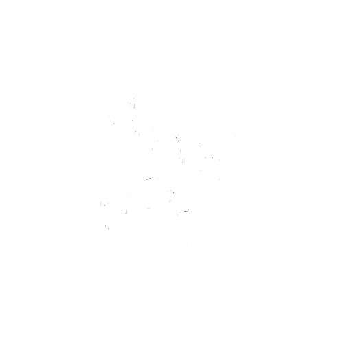 N=C(N)NCCC[C@H](NC(=O)[C@@H](N)CS)C(=O)N[C@@H](CCCNC(=N)N)C(=O)N1CCC[C@H]1C(=O)O